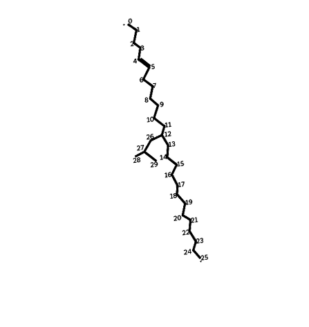 [CH2]CCCC=CCCCCCCC(CCCCCCCCCCCC[CH2])CC(C)C